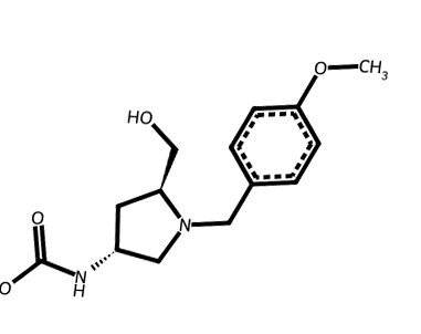 COc1ccc(CN2C[C@H](NC(=O)O)C[C@H]2CO)cc1